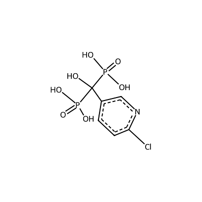 O=P(O)(O)C(O)(c1ccc(Cl)nc1)P(=O)(O)O